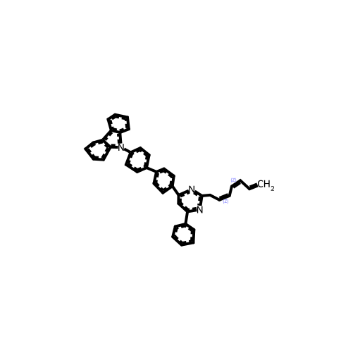 C=C/C=C\C=C/Cc1nc(-c2ccccc2)cc(-c2ccc(-c3ccc(-n4c5ccccc5c5ccccc54)cc3)cc2)n1